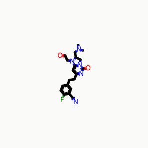 CN(C)CC1Cn2c(cc(CCc3ccc(F)c(C#N)c3)nc2=O)N1CC=O